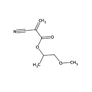 C=C(C#N)C(=O)OC(C)COC